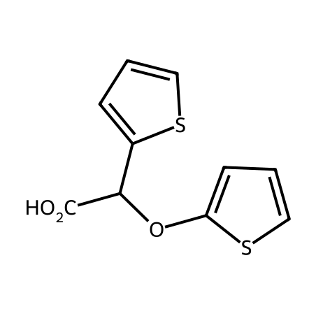 O=C(O)C(Oc1cccs1)c1cccs1